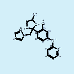 CCC1COC(Cn2cncn2)(c2ccc(Oc3ccccn3)cc2Cl)O1